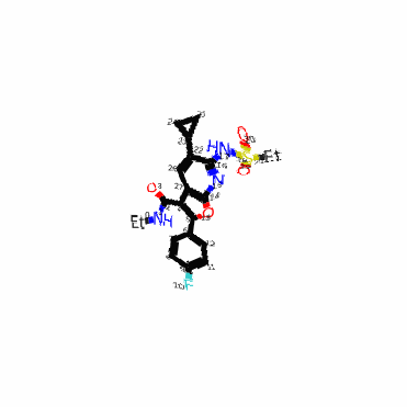 CCNC(=O)c1c(-c2ccc(F)cc2)oc2nc(NS(=O)(=O)CC)c(C3CC3)cc12